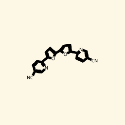 N#Cc1ccc(-c2ccc(-c3ccc(-c4ccc(C#N)cn4)o3)o2)nc1